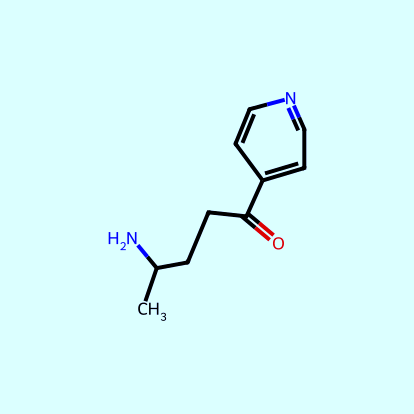 CC(N)CCC(=O)c1ccncc1